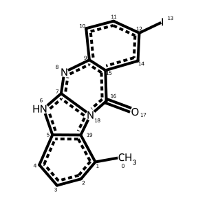 Cc1cccc2[nH]c3nc4ccc(I)cc4c(=O)n3c12